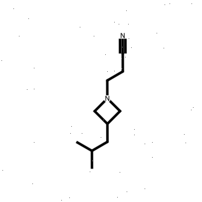 CC(C)CC1CN(CCC#N)C1